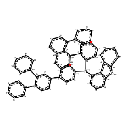 c1ccc(-c2ccc(-c3ccc(N(c4ccccc4-c4cccc5cccc(-c6ccccc6)c45)c4cccc5oc6ccccc6c45)cc3)cc2-c2ccccc2)cc1